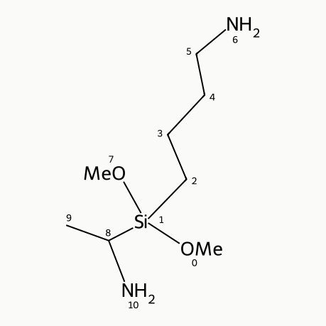 CO[Si](CCCCN)(OC)C(C)N